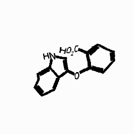 O=C(O)c1ccccc1Oc1c[nH]c2ccccc12